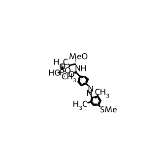 COC[C@H](NC(=O)c1ccc(/N=N/c2c(C)cc(SC)cc2C)cc1)[C@H](C)O[P@](C)(=O)O